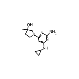 CC1(O)CCN(c2cc(NC3CC3)nc(N)n2)C1